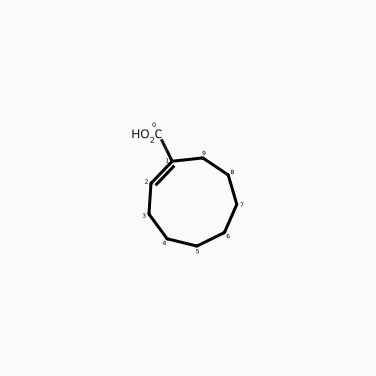 O=C(O)C1=CCCCCCCC1